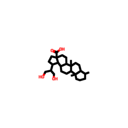 CC1CCCC2(C)C1CCC1(C)C3CCC4(C(=O)O)CCC(C(CO)CO)C4C3CCC21